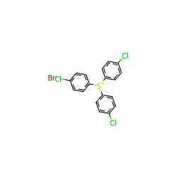 Clc1ccc([S+](c2ccc(Cl)cc2)c2ccc(Cl)cc2)cc1.[Br-]